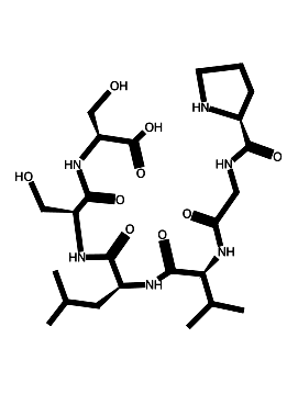 CC(C)C[C@H](NC(=O)[C@@H](NC(=O)CNC(=O)[C@@H]1CCCN1)C(C)C)C(=O)N[C@@H](CO)C(=O)N[C@@H](CO)C(=O)O